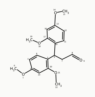 COc1ccc(C(CC=O)c2ccc(OC)cc2OC)c(OC)c1